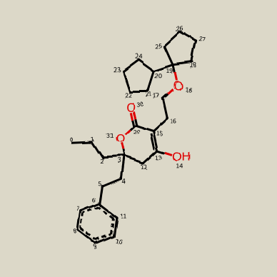 CCCC1(CCc2ccccc2)CC(O)=C(CCOC2(C3CCCC3)CCCC2)C(=O)O1